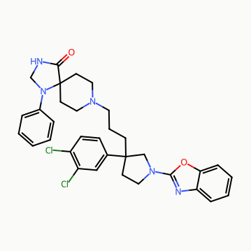 O=C1NCN(c2ccccc2)C12CCN(CCCC1(c3ccc(Cl)c(Cl)c3)CCN(c3nc4ccccc4o3)C1)CC2